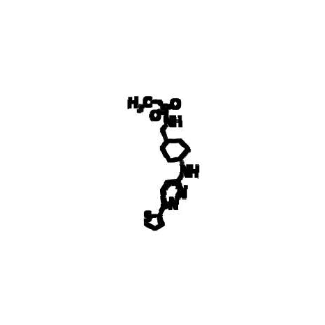 CCS(=O)(=O)NC[C@H]1CC[C@H](Nc2ccc(C3=CCCS3)nn2)CC1